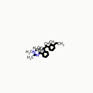 C=C=C(C(=C)c1cccc(CC)c1C)c1ccccc1/C(C)=N/C(=C)N(C)C